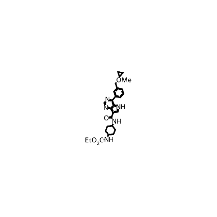 C1CC1.CCOC(=O)NC1CCC(NC(=O)c2c[nH]c3c(-c4cccc(COC)c4)ncnc23)CC1